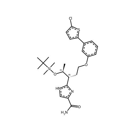 C[C@H](O[Si](C)(C)C(C)(C)C)[C@H](CCOc1cccc(-c2ccc(Cl)s2)c1)c1nc(C(N)=O)c[nH]1